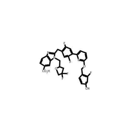 N#Cc1ccc(COc2cccc(-c3cc(F)c(Cc4nc5ccc(C(=O)O)cc5n4CC4CC(F)(F)CO4)cc3F)n2)c(F)c1